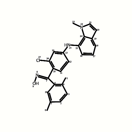 Cc1ccc(C)c(C(=NO)c2ccc(Nc3cccc4ccn(C)c34)cc2Cl)c1